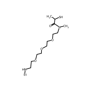 CCNCCOCCOCCOCCN(C)C(=O)C(C)S